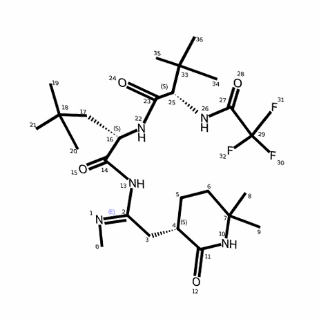 C/N=C(\C[C@@H]1CCC(C)(C)NC1=O)NC(=O)[C@H](CC(C)(C)C)NC(=O)[C@@H](NC(=O)C(F)(F)F)C(C)(C)C